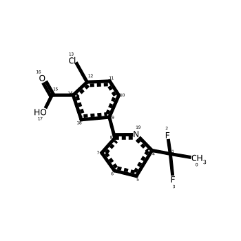 CC(F)(F)c1cccc(-c2ccc(Cl)c(C(=O)O)c2)n1